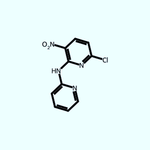 O=[N+]([O-])c1ccc(Cl)nc1Nc1ccccn1